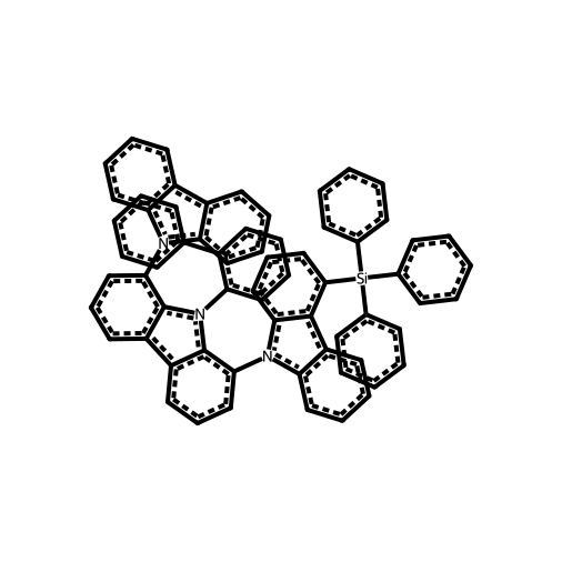 c1ccc(-c2ccccc2-n2c3c(-n4c5ccccc5c5ccccc54)cccc3c3cccc(-n4c5ccccc5c5c([Si](c6ccccc6)(c6ccccc6)c6ccccc6)cccc54)c32)cc1